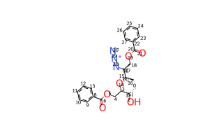 C[C@H](O)C(COC(=O)c1ccccc1)O[C@H](C)[C@H](COC(=O)c1ccccc1)N=[N+]=[N-]